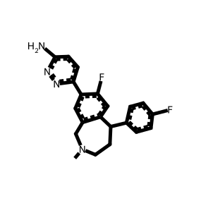 CN1CCC(c2ccc(F)cc2)c2cc(F)c(-c3ccc(N)nn3)cc2C1